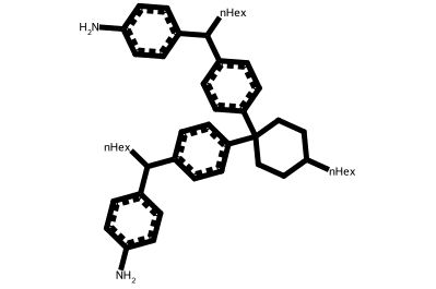 CCCCCCC1CCC(c2ccc(C(CCCCCC)c3ccc(N)cc3)cc2)(c2ccc(C(CCCCCC)c3ccc(N)cc3)cc2)CC1